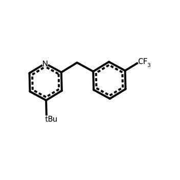 CC(C)(C)c1ccnc(Cc2cccc(C(F)(F)F)c2)c1